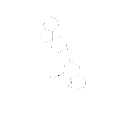 O[C@H]1C[C@H](CN2CCC3(CC2)OCc2ccccc23)Cc2cccnc21